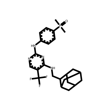 CP(C)(=O)c1ccc(Nc2ncc(C(F)(F)F)c(NCC3C4CC5CC(C4)CC3C5)n2)cc1